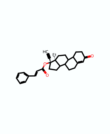 C#C[C@]1(OC(=O)/C=C/c2ccccc2)CCC2C3CCC4=CC(=O)CCC4C3CC[C@@]21CC